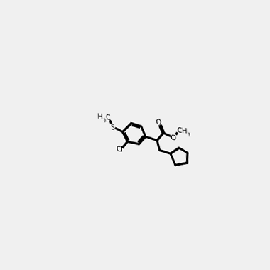 COC(=O)C(CC1CCCC1)c1ccc(SC)c(Cl)c1